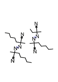 CCCCCC(C)(C#N)/N=N/C(C)(C#N)CC.CCCCCC(C)(C#N)/N=N/C(C)(C#N)CCCCC